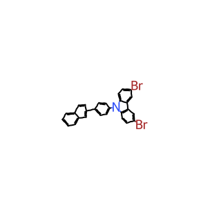 Brc1ccc2c(c1)c1cc(Br)ccc1n2-c1ccc(-c2ccc3ccccc3c2)cc1